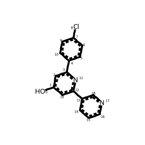 Oc1cc(-c2ccc(Cl)cc2)nc(-c2cccnc2)c1